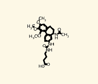 COc1cc2c(c(OC)c1OC)-c1ccc(NC(=O)NCCCC(=O)O)cc1[C@@H](NC(C)=O)CC2